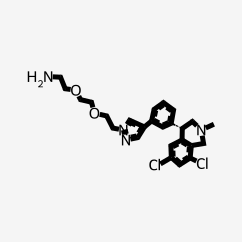 CN1Cc2c(Cl)cc(Cl)cc2[C@H](c2cccc(-c3cnn(CCOCCOCCN)c3)c2)C1